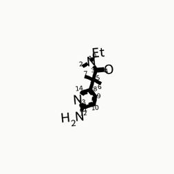 CCN(C)C(=O)C(C)(C)c1ccc(N)nc1